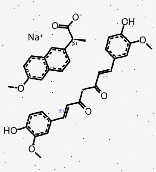 COc1cc(/C=C/C(=O)CC(=O)/C=C/c2ccc(O)c(OC)c2)ccc1O.COc1ccc2cc([C@H](C)C(=O)[O-])ccc2c1.[Na+]